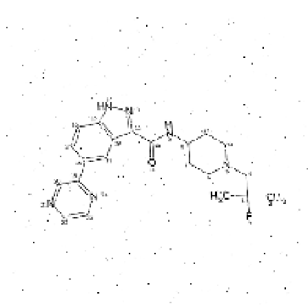 CC(C)(F)CN1CCC(NC(=O)c2n[nH]c3ccc(-c4cnccn4)cc23)CC1